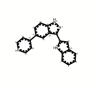 c1ccc2[nH]c(-c3n[nH]c4ccc(-c5ccncc5)cc34)cc2c1